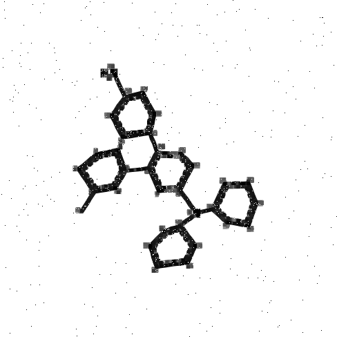 Cc1cccc(-c2cc(N(c3ccccc3)c3ccccc3)ccc2-c2ccc(N)cc2)c1